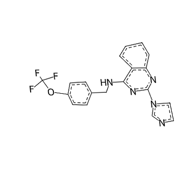 FC(F)(F)Oc1ccc(CNc2nc(-n3ccnc3)nc3ccccc23)cc1